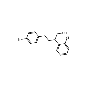 OCC(CCc1ccc(Br)cc1)c1ccccc1Cl